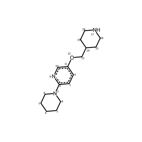 c1cc(N2CCCCC2)ncc1OCC1CCNCC1